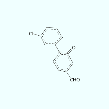 O=Cc1ccn(-c2cccc(Cl)c2)c(=O)c1